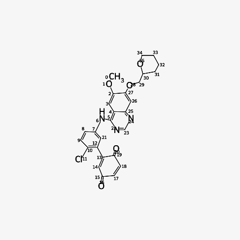 COc1cc2c(Nc3ccc(Cl)c(C4=CC(=O)C=CC4=O)c3)ncnc2cc1OCC1CCCCO1